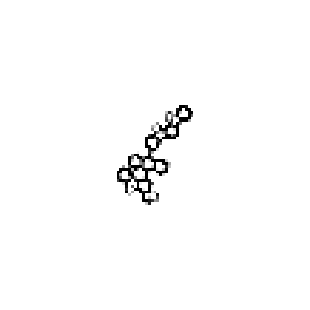 c1ccc2c(c1)oc1c2ccc2c3cc(-c4c5ccccc5c(-c5cc6occc6c6oc7ccccc7c56)c5ccccc45)ccc3oc21